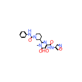 Cn1c(C2CCCN(C(=O)Nc3ccccc3)C2)nc(C(=O)Nc2cnoc2)c(O)c1=O